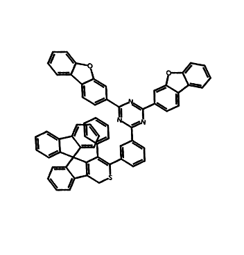 c1ccc(C2=C(c3cccc(-c4nc(-c5ccc6c(c5)oc5ccccc56)nc(-c5ccc6c(c5)oc5ccccc56)n4)c3)SCC3=C2C2(c4ccccc43)c3ccccc3-c3ccccc32)cc1